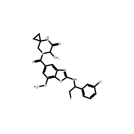 COc1cc(C(=O)N2CC3(CC3)NC(=O)C2C)cc2nc(NC(CF)c3cccc(Cl)c3)oc12